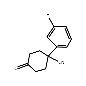 N#CC1(c2cccc(F)c2)CCC(=O)CC1